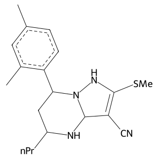 CCCC1CC(c2ccc(C)cc2C)N2NC(SC)=C(C#N)C2N1